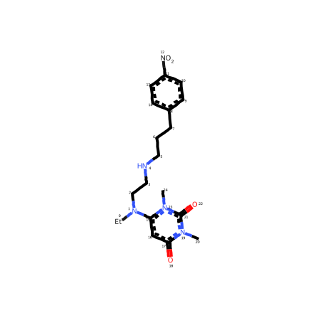 CCN(CCNCCCc1ccc([N+](=O)[O-])cc1)c1cc(=O)n(C)c(=O)n1C